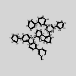 C=C/C=C(\C=C/C)c1ccc2c3cc(-c4ccccc4)ccc3n(-c3cccc4c3oc3cccc(-c5nc(-c6ccccc6)nc(-c6cccc(-c7ccccc7)c6)n5)c34)c2c1